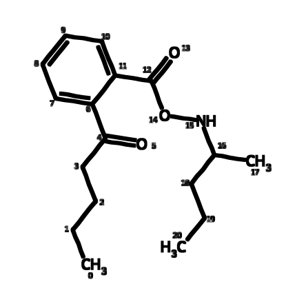 CCCCC(=O)c1ccccc1C(=O)ONC(C)CCC